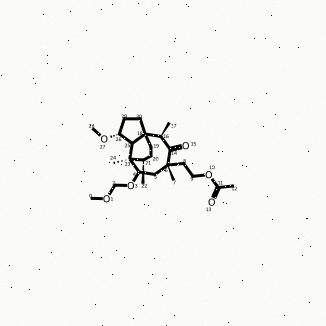 COCOC1C[C@@](C)(CCOC(C)=O)C(=O)[C@H](C)C23CC[C@@H](C)[C@]1(C)C2[C@H](OC)CC3